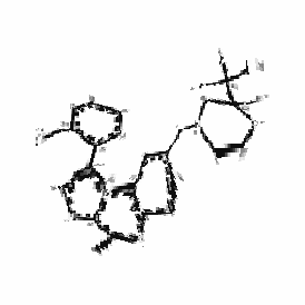 Cc1nc2ccc(CN3CCOC(F)(C(F)(F)F)C3)cc2n2c(-c3ccccc3Cl)nnc12